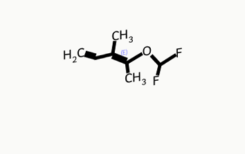 C=C/C(C)=C(\C)OC(F)F